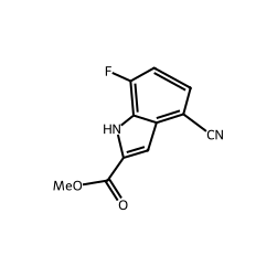 COC(=O)c1cc2c(C#N)ccc(F)c2[nH]1